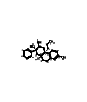 CCC[C@@]12C[C@H](O)[C@](O)(c3ccccc3)C[C@H]1CCc1cc(O)ccc12